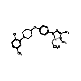 Cc1ccc(Cl)c(N2CCC(Oc3ccc(N4N=C(C(F)(F)F)[C@@H](C)[C@@H]4CC(=O)O)cc3)CC2)c1